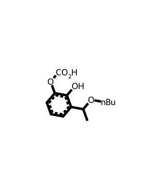 CCCCOC(C)c1cccc(OC(=O)O)c1O